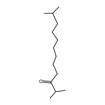 CC(C)CCCCCCCC(=O)C(C)C